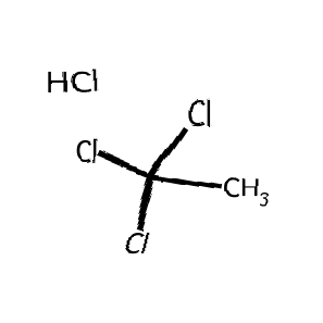 CC(Cl)(Cl)Cl.Cl